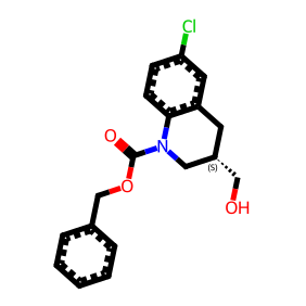 O=C(OCc1ccccc1)N1C[C@@H](CO)Cc2cc(Cl)ccc21